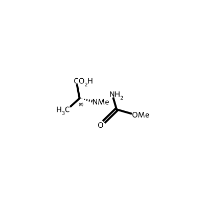 CN[C@H](C)C(=O)O.COC(N)=O